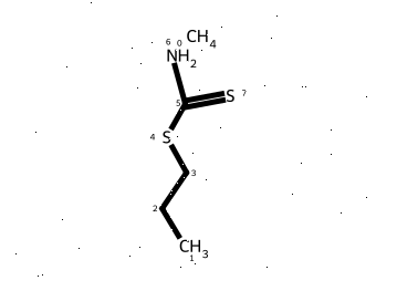 C.CCCSC(N)=S